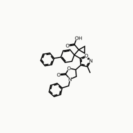 Cc1noc(C2(C3(C(=O)O)CC3)C=CC(c3ccccc3)=CC2)c1C1CN(Cc2ccccc2)C(=O)O1